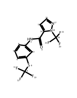 O=C(Nc1cccc(SC(F)(F)F)c1)c1ccnn1C(F)(F)F